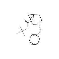 CC(C)(C)OC(=O)NC12CCN(Cc3ccccc3)CC1C2